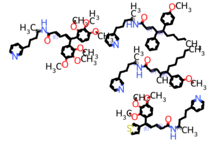 CCCCC/C(=C(/C=C/C(=O)N[C@H](C)CCCc1cccnc1)c1ccccc1)c1ccc(OC)cc1.CCCCCC/C(=C(C)\C=C\C(=O)N[C@H](C)CCCc1cccnc1)c1cccc(OC)c1.COc1ccc(/C(=C\C=C\C(=O)N[C@H](C)CCCc2cccnc2)c2ccsc2)c(OC)c1OC.COc1ccc(C(=C/C=C/C(=O)N[C@H](C)CCCc2cccnc2)c2ccc(OC)c(OC)c2OC)c(OC)c1OC